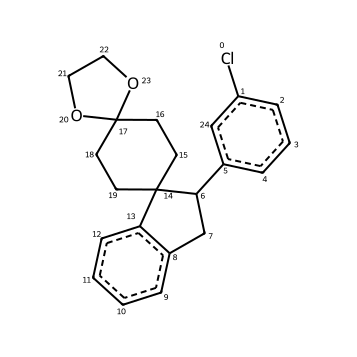 Clc1cccc(C2Cc3ccccc3C23CCC2(CC3)OCCO2)c1